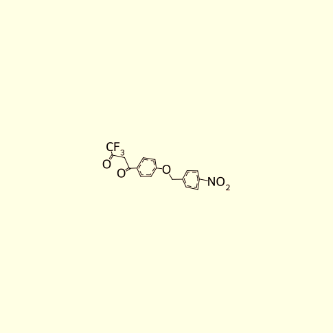 O=C(CC(=O)C(F)(F)F)c1ccc(OCc2ccc([N+](=O)[O-])cc2)cc1